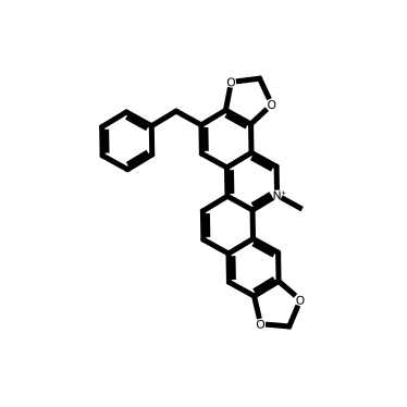 C[n+]1cc2c3c(c(Cc4ccccc4)cc2c2ccc4cc5c(cc4c21)OCO5)OCO3